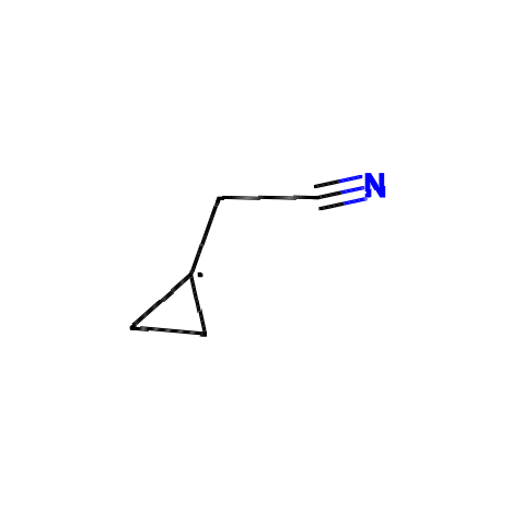 N#CC[C]1CC1